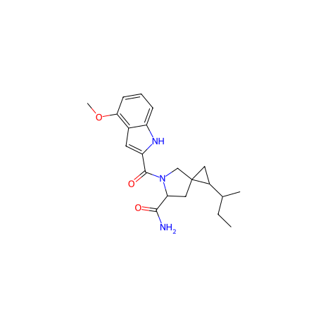 CCC(C)C1CC12CC(C(N)=O)N(C(=O)c1cc3c(OC)cccc3[nH]1)C2